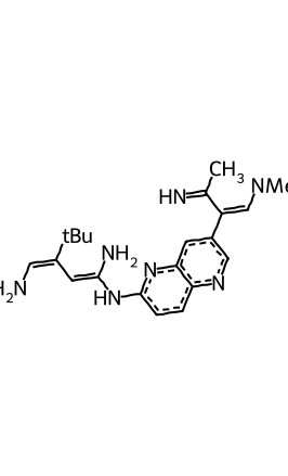 CN/C=C(\C(C)=N)c1cnc2ccc(N/C(N)=C/C(=C\N)C(C)(C)C)nc2c1